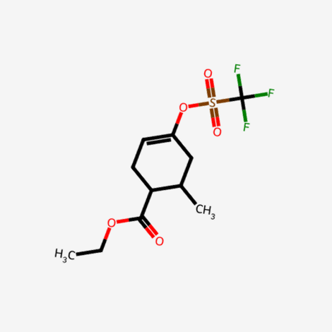 CCOC(=O)C1CC=C(OS(=O)(=O)C(F)(F)F)CC1C